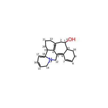 OC1CC2=C3C(=C4C=CCCC41)CN1CC=CC=C1C3CCC2